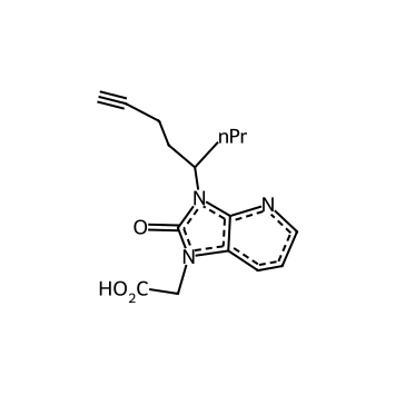 C#CCCC(CCC)n1c(=O)n(CC(=O)O)c2cccnc21